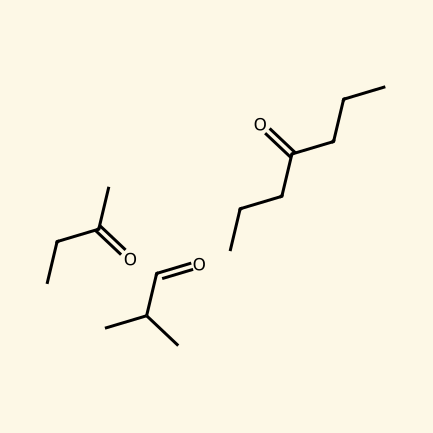 CC(C)C=O.CCC(C)=O.CCCC(=O)CCC